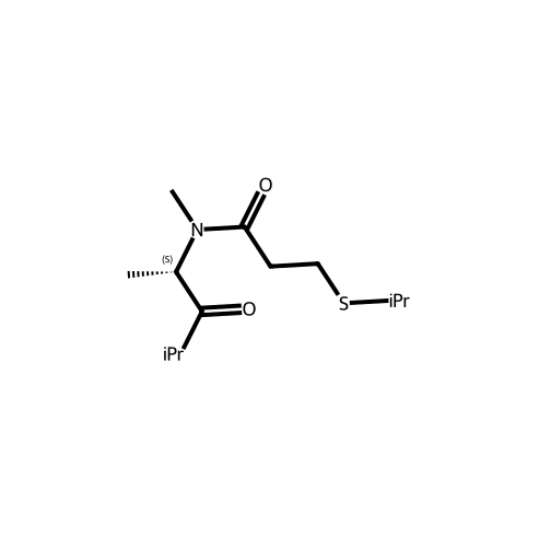 CC(C)SCCC(=O)N(C)[C@@H](C)C(=O)C(C)C